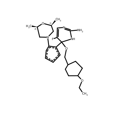 CCOC1CCC(COC2(c3ccccc3N3C[C@@H](C)O[C@@H](C)C3)NC(N)=NC=C2F)CC1